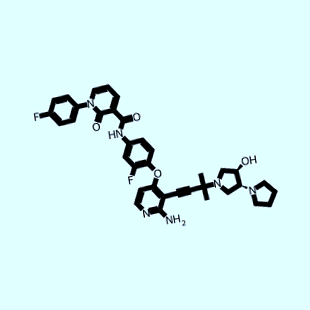 CC(C)(C#Cc1c(Oc2ccc(NC(=O)c3cccn(-c4ccc(F)cc4)c3=O)cc2F)ccnc1N)N1C[C@@H](O)[C@H](N2CCCC2)C1